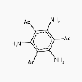 CC(=O)c1c(N)c(C(C)=O)c(N)c(C(C)=O)c1N